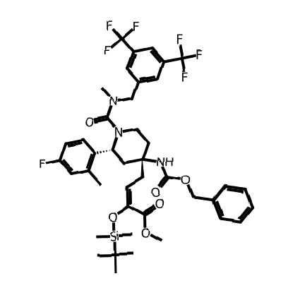 COC(=O)/C(=C\C[C@]1(NC(=O)OCc2ccccc2)CCN(C(=O)N(C)Cc2cc(C(F)(F)F)cc(C(F)(F)F)c2)[C@@H](c2ccc(F)cc2C)C1)O[Si](C)(C)C(C)(C)C